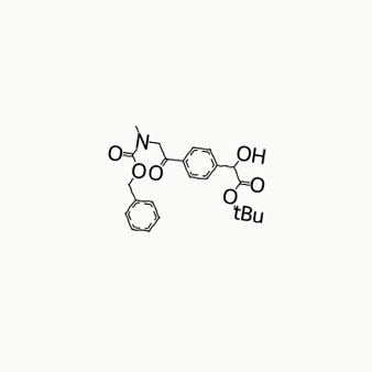 CN(CC(=O)c1ccc(C(O)C(=O)OC(C)(C)C)cc1)C(=O)OCc1ccccc1